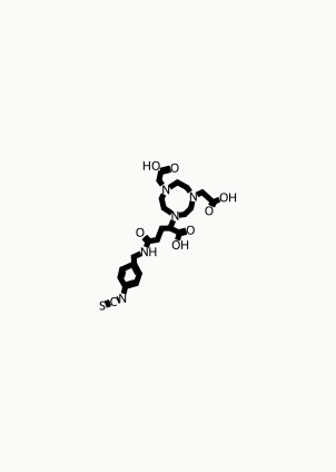 O=C(O)CN1CCN(CC(=O)O)CCN(C(CCC(=O)NCc2ccc(N=C=S)cc2)C(=O)O)CC1